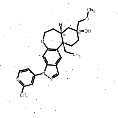 CC[C@]12CC[C@@](O)(COC)C[C@H]1CCOc1cc3c(cnn3-c3ccnc(C)c3)cc12